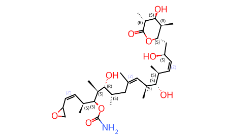 C/C(=C/[C@H](C)[C@@H](O)[C@@H](C)/C=C\[C@@H](O)C[C@@H]1OC(=O)[C@H](C)[C@@H](O)[C@H]1C)C[C@H](C)[C@@H](O)[C@H](C)[C@@H](OC(N)=O)[C@@H](C)/C=C\C1CO1